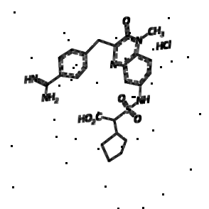 Cl.Cn1c(=O)c(Cc2ccc(C(=N)N)cc2)nc2cc(NS(=O)(=O)C(C(=O)O)C3CCCC3)ccc21